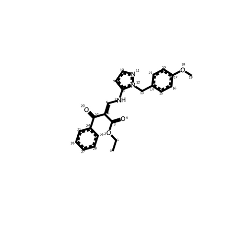 CCOC(=O)C(=CNc1ccnn1Cc1ccc(OC)cc1)C(=O)c1ccccc1